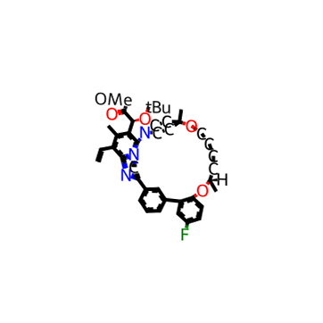 C=Cc1c(C)c([C@H](OC(C)(C)C)C(=O)OC)c2n3cc(nc13)-c1cccc(c1)-c1cc(F)ccc1O[C@@H](C)CCCCOC1(C)CCN2CC1